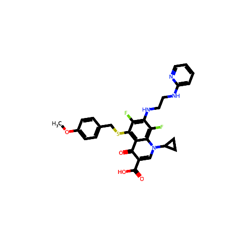 COc1ccc(CSc2c(F)c(NCCNc3ccccn3)c(F)c3c2c(=O)c(C(=O)O)cn3C2CC2)cc1